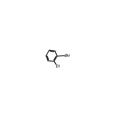 CCc1ccc[c]c1C(C)CC